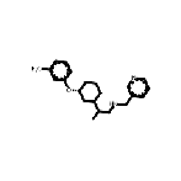 CC(CNCc1cccnc1)C1CCC[C@@H](Oc2cccc(C(F)(F)F)c2)C1